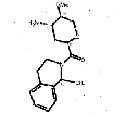 CO[C@H]1CO[C@@H](C(=O)N2CCc3ccccc3[C@@H]2C)C[C@@H]1N